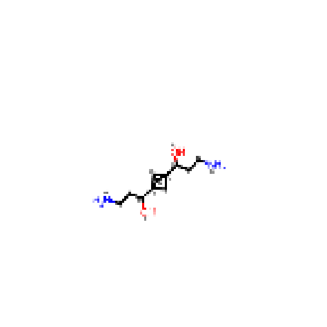 NCCC(O)C12CC(C(O)CCN)(C1)C2